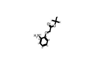 CC(C)(C)OC(=O)COc1ccccc1N